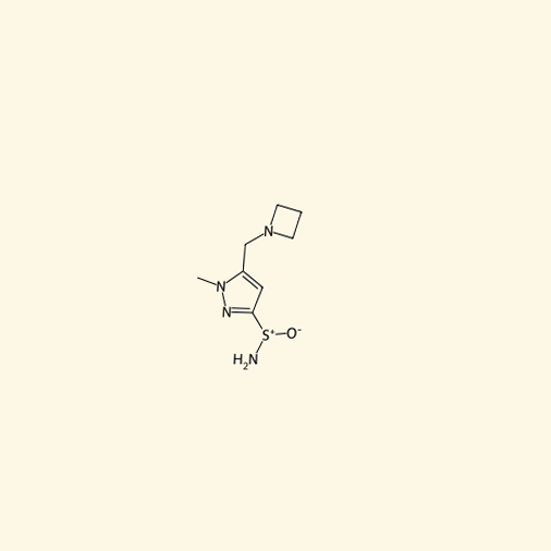 Cn1nc([S+](N)[O-])cc1CN1CCC1